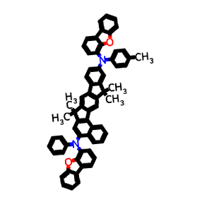 Cc1ccc(N(c2ccc3c(c2)C(C)(C)c2cc4c(cc2-3)C(C)(C)c2cc(N(c3ccccc3)c3cccc5c3oc3ccccc35)c3ccccc3c2-4)c2cccc3c2oc2ccccc23)cc1